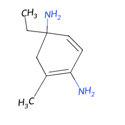 CCC1(N)C=CC(N)=C(C)C1